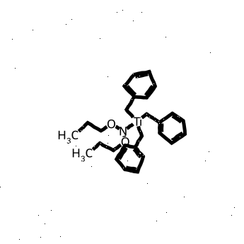 CCCO[N](OCCC)[Ti]([CH2]c1ccccc1)([CH2]c1ccccc1)[CH2]c1ccccc1